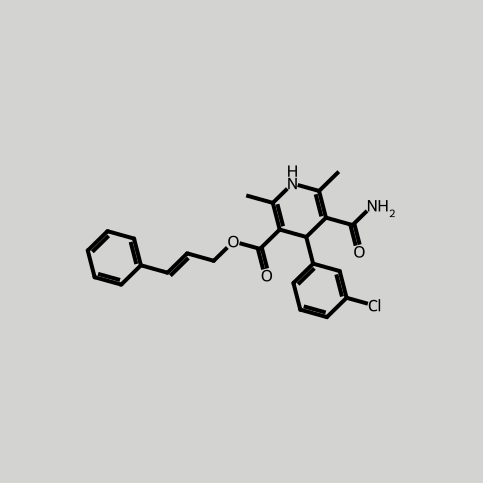 CC1=C(C(N)=O)C(c2cccc(Cl)c2)C(C(=O)OCC=Cc2ccccc2)=C(C)N1